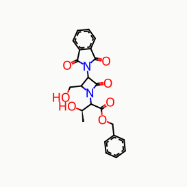 C[C@@H](O)C(C(=O)OCc1ccccc1)N1C(=O)C(N2C(=O)c3ccccc3C2=O)C1CO